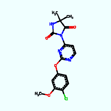 COc1cc(Oc2nccc(N3C(=O)NC(C)(C)C3=O)n2)ccc1Cl